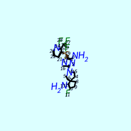 Nc1nc(N2CCC3(CC[C@H](F)[C@H]3N)CC2)cnc1Sc1cccnc1C(F)(F)F